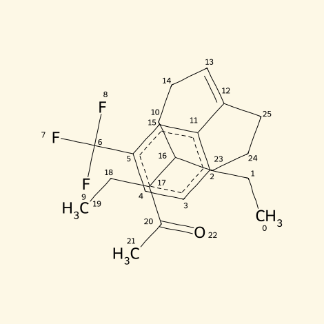 CCc1ccc(C(F)(F)F)cc1/C1=C\CCC(C(CC)C(C)=O)CCC1